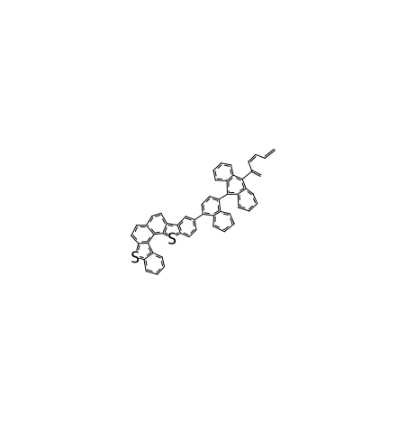 C=C/C=C\C(=C)c1c2ccccc2c(-c2ccc(-c3ccc4sc5c(ccc6ccc7sc8ccccc8c7c65)c4c3)c3ccccc23)c2ccccc12